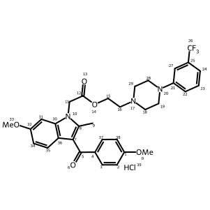 COc1ccc(C(=O)c2c(C)n(CC(=O)OCCN3CCN(c4cccc(C(F)(F)F)c4)CC3)c3cc(OC)ccc23)cc1.Cl